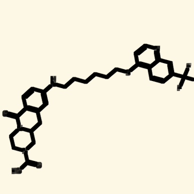 O=C(O)N1CCN2C(=O)c3ccc(NCCCCCCSc4ccnc5cc(C(F)(F)F)ccc45)cc3CC2C1